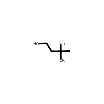 CC(CCO)(C(F)(F)F)C(F)(F)F